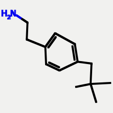 CC(C)(C)Cc1ccc(CCN)cc1